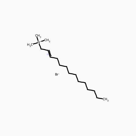 CCCCCCCCCCC/C=C/C[N+](C)(C)C.[Br-]